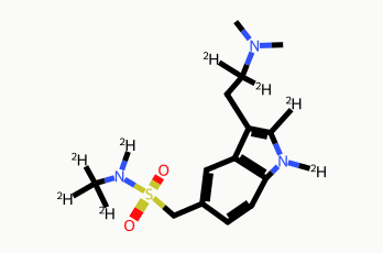 [2H]c1c(CC([2H])([2H])N(C)C)c2cc(CS(=O)(=O)N([2H])C([2H])([2H])[2H])ccc2n1[2H]